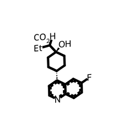 CCC(C(=O)O)[C@]1(O)CC[C@H](c2ccnc3ccc(F)cc32)CC1